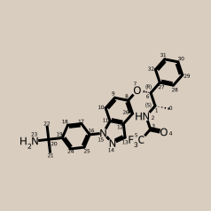 C[C@H](NC(=O)C(F)(F)F)[C@H](Oc1ccc2c(cnn2-c2ccc(C(C)(C)N)cc2)c1)c1ccccc1